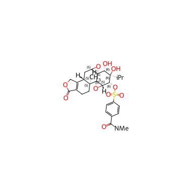 CNC(=O)c1ccc(S(=O)(=O)O[C@@H]2[C@@H]3O[C@]34[C@]3(O[C@H]3C[C@H]3C5=C(CC[C@@]34C)C(=O)OC5)[C@H](O)[C@]2(O)C(C)C)cc1